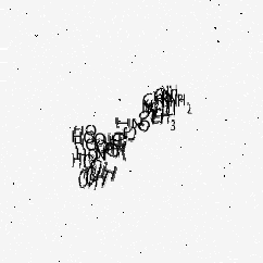 CCn1c(CNC(=O)c2nc(Cl)c(N)nc2N)[n+](CC)c2ccc(C(=O)NCCOCCOCCOCCN(C[C@H](O)[C@@H](O)[C@H](O)[C@H](O)CO)C[C@H](O)[C@@H](O)[C@H](O)[C@H](O)CO)cc21